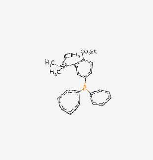 CCOC(=O)c1ccc(P(c2ccccc2)c2ccccc2)cc1[Si](C)(C)C